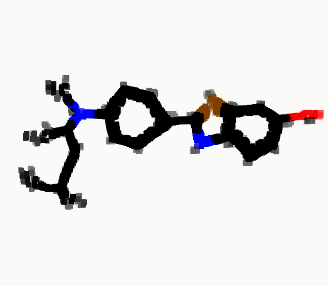 CC(C)CC(C)N(C)c1ccc(-c2nc3ccc(O)cc3s2)cc1